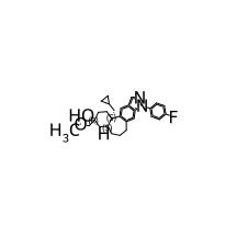 COC[C@@]1(O)CC[C@@]2(CC3CC3)c3cc4cnn(-c5ccc(F)cc5)c4cc3CCC[C@H]2C1